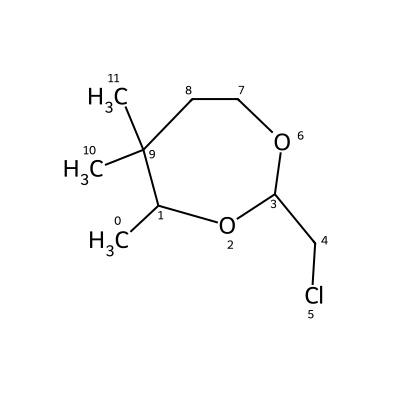 CC1OC(CCl)OCCC1(C)C